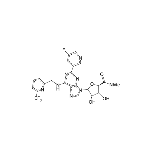 CNC(=O)[C@@H]1OC(n2cnc3c(NCc4cccc(C(F)(F)F)n4)nc(-c4cncc(F)c4)nc32)C(O)C1O